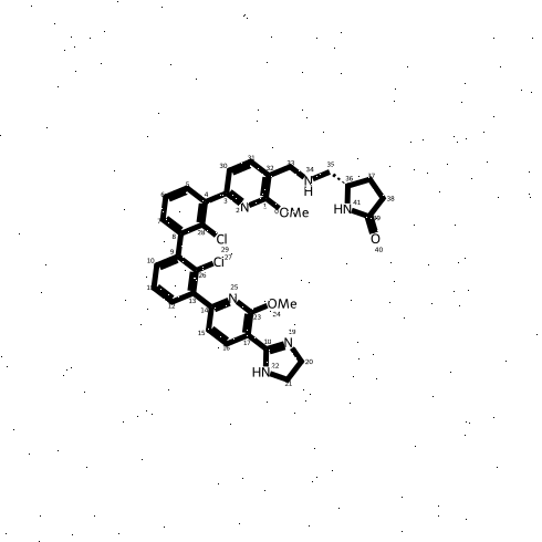 COc1nc(-c2cccc(-c3cccc(-c4ccc(C5=NCCN5)c(OC)n4)c3Cl)c2Cl)ccc1CNC[C@@H]1CCC(=O)N1